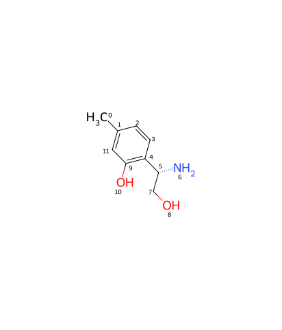 Cc1ccc([C@H](N)CO)c(O)c1